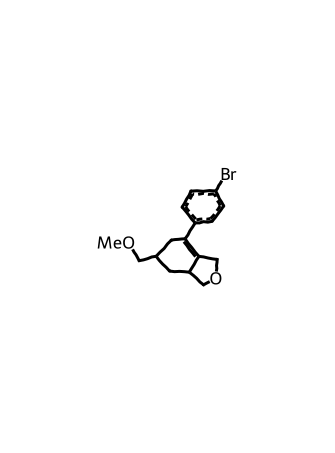 COCC1CC(c2ccc(Br)cc2)=C2COCC2C1